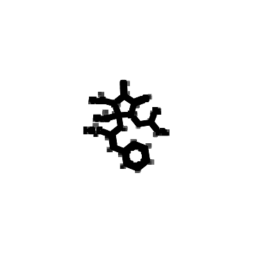 CCCCC(CC)CN1C(=O)C(=O)N(OC)C1(CC(=Cc1ccccc1)C(=O)O)OC